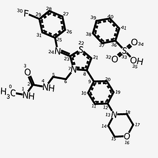 CNC(=O)NCCn1c(-c2ccc(N3CCOCC3)cc2)csc1=Nc1cccc(F)c1.O=S(=O)(O)c1ccccc1